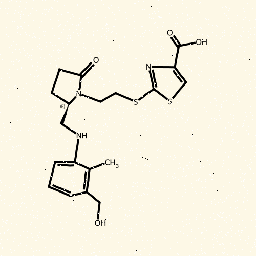 Cc1c(CO)cccc1NC[C@H]1CCC(=O)N1CCSc1nc(C(=O)O)cs1